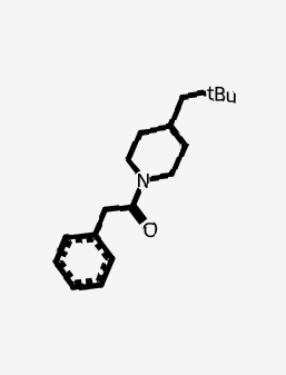 CC(C)(C)CC1CCN(C(=O)Cc2ccccc2)CC1